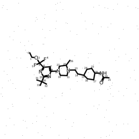 CCOC(F)(F)c1cc(N2CCN(CCC3CCC(NC(C)=O)CC3)C(C)C2)nc(C(C)(C)C)n1